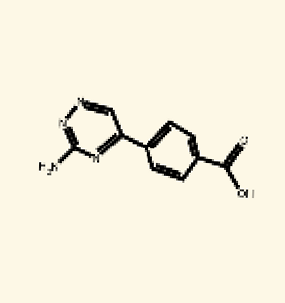 Nc1nncc(-c2ccc(C(=O)O)cc2)n1